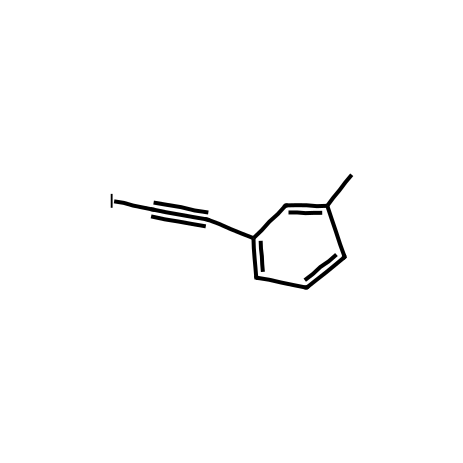 Cc1cccc(C#CI)c1